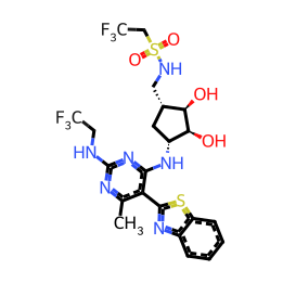 Cc1nc(NCC(F)(F)F)nc(N[C@@H]2C[C@H](CNS(=O)(=O)CC(F)(F)F)[C@@H](O)[C@H]2O)c1-c1nc2ccccc2s1